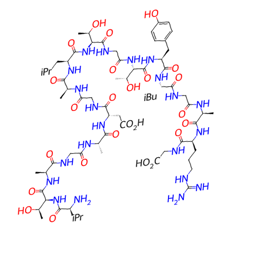 CC[C@H](C)[C@H](NC(=O)[C@H](Cc1ccc(O)cc1)NC(=O)[C@@H](NC(=O)CNC(=O)[C@@H](NC(=O)[C@H](CC(C)C)NC(=O)[C@H](C)NC(=O)CNC(=O)[C@H](CC(=O)O)NC(=O)[C@H](C)NC(=O)CNC(=O)[C@H](C)NC(=O)[C@@H](NC(=O)[C@@H](N)C(C)C)[C@@H](C)O)[C@@H](C)O)[C@@H](C)O)C(=O)NCC(=O)N[C@@H](C)C(=O)N[C@@H](CCCNC(=N)N)C(=O)NCC(=O)O